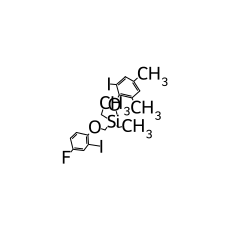 CC[Si](CC)(COc1ccc(F)cc1I)COc1c(C)cc(C)cc1I